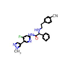 Cn1cc(-c2cnc(NC(=O)C(NCCc3ccc(C#N)cc3)c3ccccc3)cc2F)cn1